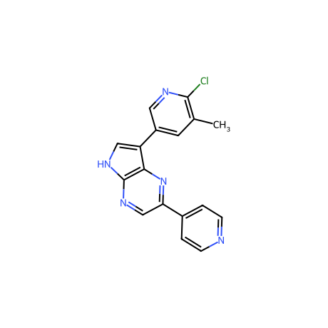 Cc1cc(-c2c[nH]c3ncc(-c4ccncc4)nc23)cnc1Cl